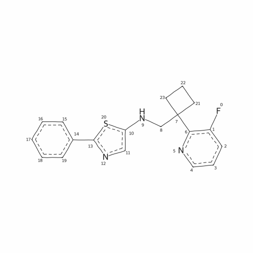 Fc1cccnc1C1(CNc2cnc(-c3ccccc3)s2)CCC1